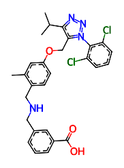 Cc1cc(OCc2c(C(C)C)nnn2-c2c(Cl)cccc2Cl)ccc1CNCc1cccc(C(=O)O)c1